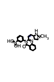 CN1CCC(/C=C\c2nc3c(c(=O)n2-c2cccc(N(O)O)c2)=CCCC=3)N1